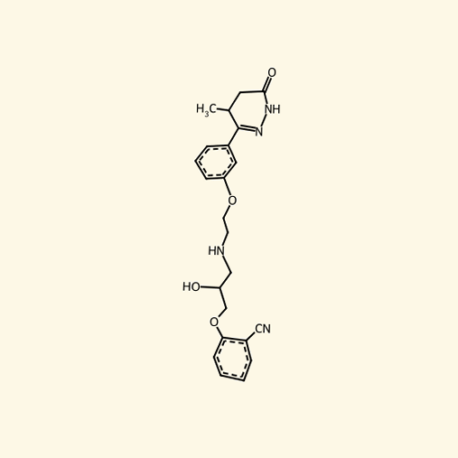 CC1CC(=O)NN=C1c1cccc(OCCNCC(O)COc2ccccc2C#N)c1